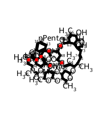 C=C(C)[C@@H]1CCC(C)=C[C@H]1c1c(O)cc(CCCCC)cc1OC(=O)N(C)CCN(C)C(=O)O[C@H]1[C@H](C)O[C@@H](O[C@H]2[C@H](C)O[C@@H](O[C@@H]3/C(C)=C/C[C@@H]4C[C@@H](C[C@]5(CC[C@H](C)[C@@H](C(C)C)O5)O4)OC(=O)[C@@H]4C=C(C)[C@@H](O)[C@H]5OC/C(=C\C=C\[C@@H]3C)[C@]54O)C[C@@H]2OC)C[C@@H]1OC